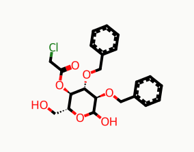 O=C(CCl)O[C@H]1[C@H](OCc2ccccc2)[C@@H](OCc2ccccc2)C(O)O[C@@H]1CO